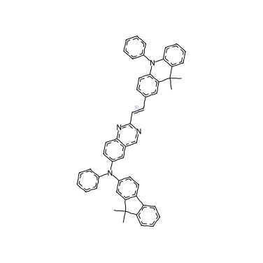 CC1(C)c2ccccc2-c2ccc(N(c3ccccc3)c3ccc4nc(/C=C/c5ccc6c(c5)C(C)(C)c5ccccc5N6c5ccccc5)ncc4c3)cc21